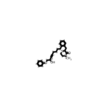 CN1CCSC(Cc2ccccc2CCCCC#CC(O)COc2ccccc2)C1=O